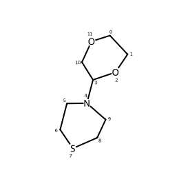 C1COC(N2CCSCC2)CO1